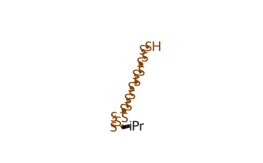 CC(C)CS(=S)(=S)SSSSSSSSSSSSS